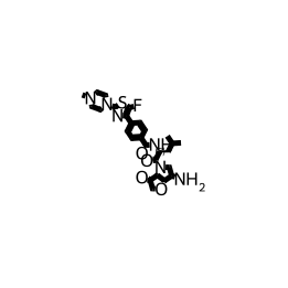 CC(C)C[C@H](NC(=O)c1ccc(-c2nc(N3CCN(C)CC3)sc2F)cc1)C(=O)N1CC(N)C2OCC(=O)C21